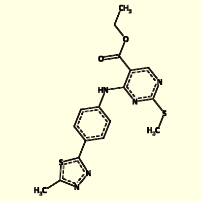 CCOC(=O)c1cnc(SC)nc1Nc1ccc(-c2nnc(C)s2)cc1